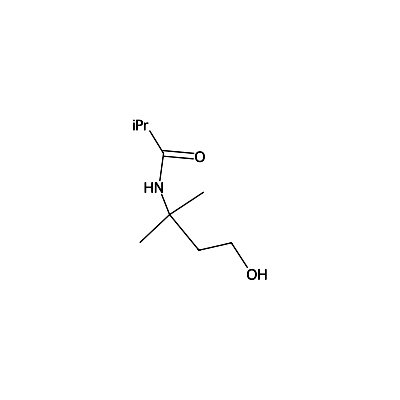 CC(C)C(=O)NC(C)(C)CCO